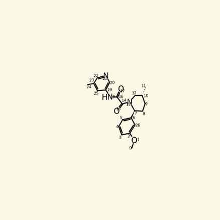 COc1cccc([C@@H]2CC[C@@H](C)CN2C(=O)C(=O)Nc2cncc(C)c2)c1